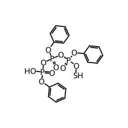 O=P(O)(Oc1ccccc1)OP(=O)(Oc1ccccc1)OP(=O)(OS)Oc1ccccc1